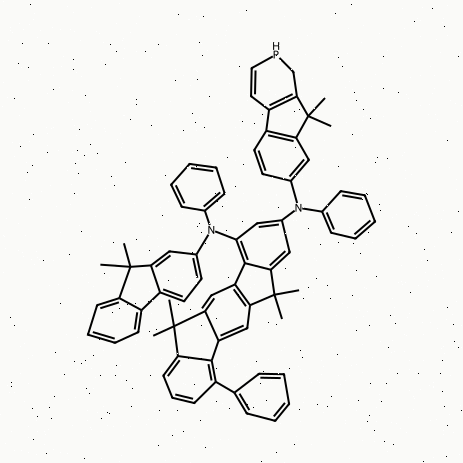 CC1(C)C2=C(C=CPC2)c2ccc(N(c3ccccc3)c3cc(N(c4ccccc4)c4ccc5c(c4)C(C)(C)c4ccccc4-5)c4c(c3)C(C)(C)c3cc5c(cc3-4)C(C)(C)c3cccc(-c4ccccc4)c3-5)cc21